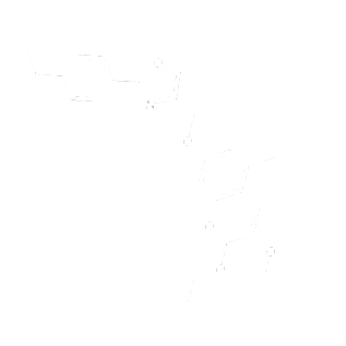 CCOC(=O)/C(=C\c1ccc(OCc2nc(-c3ccc(C(C)C)cc3)oc2C)cc1C)OCC